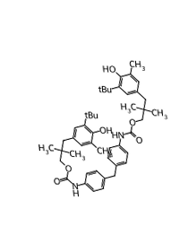 Cc1cc(CC(C)(C)COC(=O)Nc2ccc(Cc3ccc(NC(=O)OCC(C)(C)Cc4cc(C)c(O)c(C(C)(C)C)c4)cc3)cc2)cc(C(C)(C)C)c1O